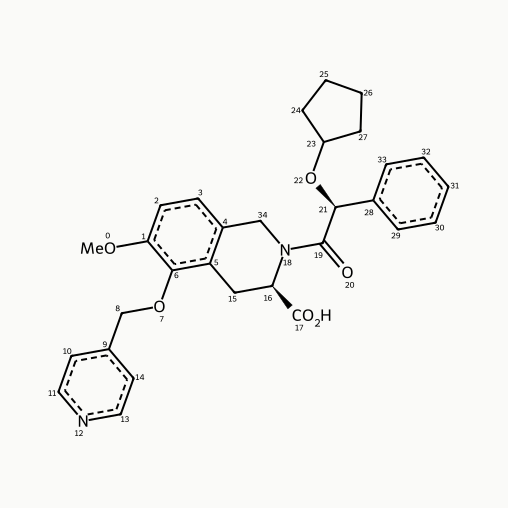 COc1ccc2c(c1OCc1ccncc1)C[C@H](C(=O)O)N(C(=O)[C@@H](OC1CCCC1)c1ccccc1)C2